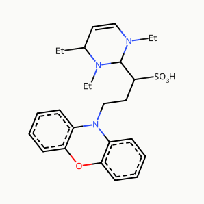 CCC1C=CN(CC)C(C(CCN2c3ccccc3Oc3ccccc32)S(=O)(=O)O)N1CC